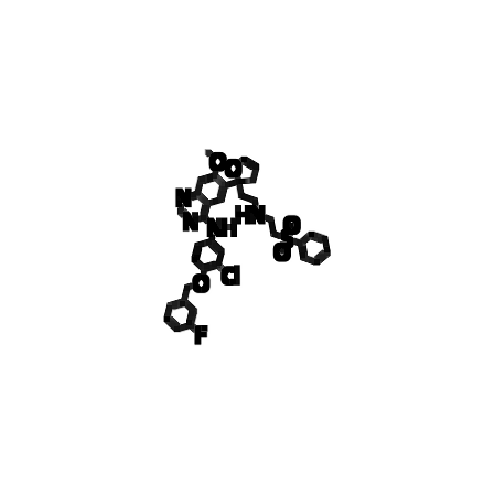 COc1cc2ncnc(Nc3ccc(OCc4cccc(F)c4)c(Cl)c3)c2cc1C1(CCNCCS(=O)(=O)c2ccccc2)CC=CO1